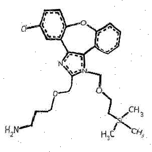 C[Si](C)(C)CCOCn1c(COCCCN)nc2c1-c1ccccc1Oc1ccc(Cl)cc1-2